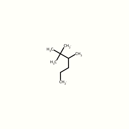 [CH2]CCC(C)C([CH2])(C)C